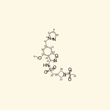 COc1cc(Cn2cccn2)cc2onc(NS(=O)(=O)CC3CN(S(C)(=O)=O)C3)c12